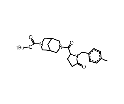 Cc1ccc(CN2C(=O)CCC2C(=O)N2CC3CC(CN(C(=O)OC(C)(C)C)C3)C2)cc1